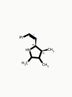 CC(C)/C=C\[C@@H]1NC(C)C(C)[C@@H]1C